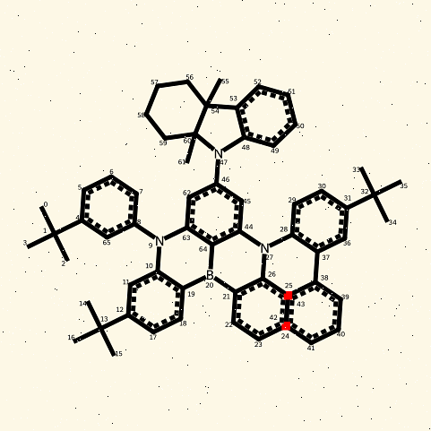 CC(C)(C)c1cccc(N2c3cc(C(C)(C)C)ccc3B3c4ccccc4N(c4ccc(C(C)(C)C)cc4-c4ccccc4)c4cc(N5c6ccccc6C6(C)CCCCC56C)cc2c43)c1